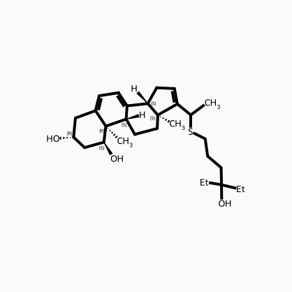 CCC(O)(CC)CCCSC(C)C1=CC[C@H]2C3=CC=C4C[C@@H](O)C[C@H](O)[C@]4(C)[C@H]3CC[C@]12C